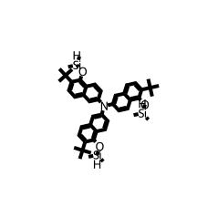 C[SiH](C)Oc1c(C(C)(C)C)ccc2cc(N(c3ccc4c(O[SiH](C)C)c(C(C)(C)C)ccc4c3)c3ccc4c(O[SiH](C)C)c(C(C)(C)C)ccc4c3)ccc12